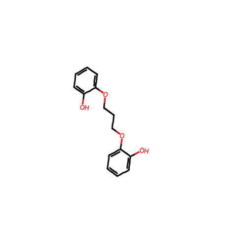 Oc1ccccc1OCCCOc1ccccc1O